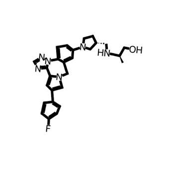 C[C@H](CO)NC[C@H]1CCN(c2ccc3c(c2)Cn2cc(-c4ccc(F)cc4)cc2-c2ncnn2-3)C1